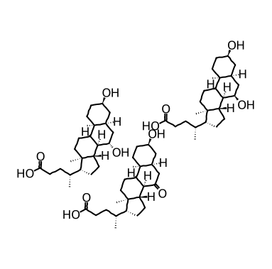 C[C@H](CCC(=O)O)[C@H]1CC[C@H]2[C@@H]3C(=O)C[C@@H]4C[C@H](O)CC[C@]4(C)[C@H]3CC[C@]12C.C[C@H](CCC(=O)O)[C@H]1CC[C@H]2[C@@H]3[C@@H](O)C[C@@H]4C[C@H](O)CC[C@]4(C)[C@H]3CC[C@]12C.C[C@H](CCC(=O)O)[C@H]1CC[C@H]2[C@@H]3[C@H](O)C[C@@H]4C[C@H](O)CC[C@]4(C)[C@H]3CC[C@]12C